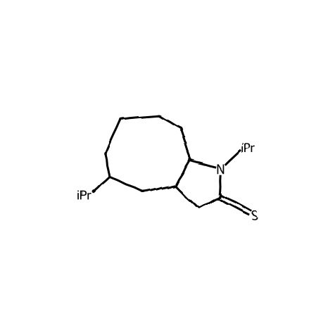 CC(C)C1CCCCC2C(CC(=S)N2C(C)C)C1